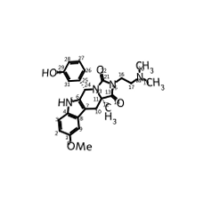 COc1ccc2[nH]c3c(c2c1)C[C@]1(C)C(=O)N(CCN(C)C)C(=O)N1[C@H]3c1cccc(O)c1